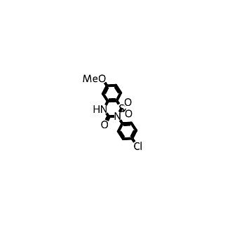 COc1ccc2c(c1)NC(=O)N(c1ccc(Cl)cc1)S2(=O)=O